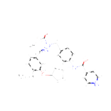 CCC1SC(=O)N(Cc2ccc(NC(=O)c3ccncc3)cc2)N=C1c1ccc(OC)c(OC2CCCC2)c1